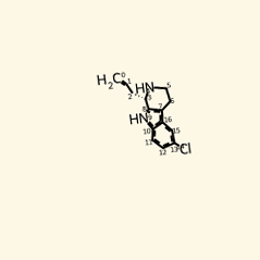 C=CC[C@@H]1NCCc2c1[nH]c1ccc(Cl)cc21